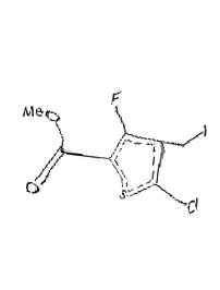 COC(=O)c1sc(Cl)c(I)c1F